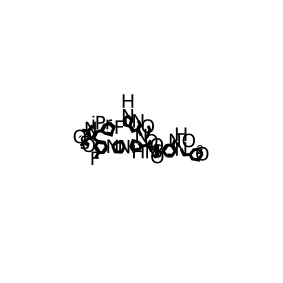 Cc1c(S(C)(=O)=O)c(-c2cc(F)cc(N3CCN(c4ccc(C(=O)NS(=O)(=O)c5ccc(NCC6CCOCC6)c([N+](=O)[O-])c5)c(N5CCOc6nc7[nH]ccc7cc65)c4)CC3)c2)c(-c2ccc(F)cc2)n1C(C)C